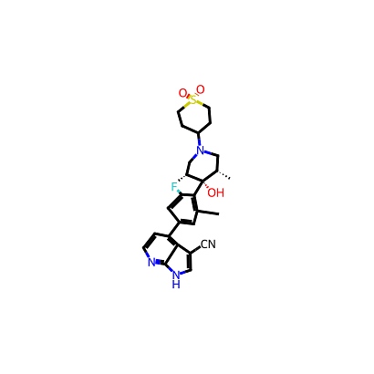 Cc1cc(-c2ccnc3[nH]cc(C#N)c23)cc(F)c1[C@@]1(O)[C@H](C)CN(C2CCS(=O)(=O)CC2)C[C@@H]1C